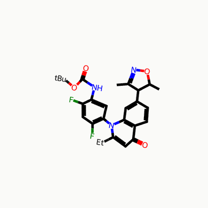 CCc1cc(=O)c2ccc(C3C(C)=NOC3C)cc2n1-c1cc(NC(=O)OC(C)(C)C)c(F)cc1F